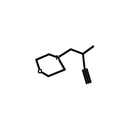 C#CC(C)CN1CCOCC1